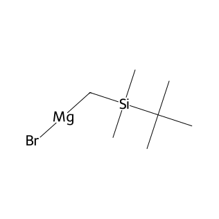 CC(C)(C)[Si](C)(C)[CH2][Mg][Br]